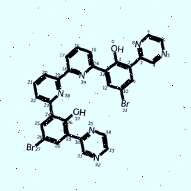 Oc1c(-c2cnccn2)cc(Br)cc1-c1cccc(-c2cccc(-c3cc(Br)cc(-c4cnccn4)c3O)n2)n1